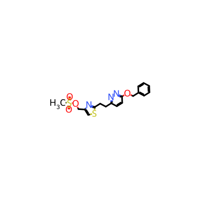 CS(=O)(=O)OCc1csc(CCc2ccc(OCc3ccccc3)nn2)n1